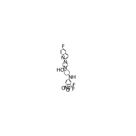 O=[N+]([O-])c1ccc(NC2CCC(O)(N3CCN(c4ccc5cc(F)ccc5n4)CC3)CC2)cc1C(F)(F)F